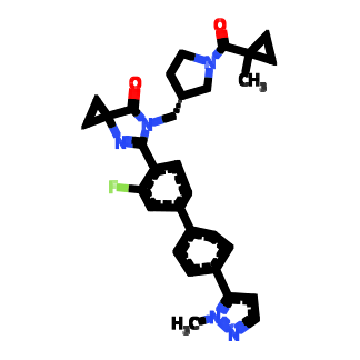 Cn1nccc1-c1ccc(-c2ccc(C3=NC4(CC4)C(=O)N3C[C@@H]3CCN(C(=O)C4(C)CC4)C3)c(F)c2)cc1